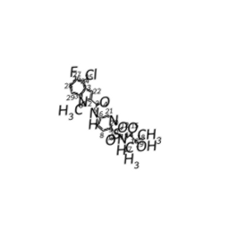 Cn1c(C(=O)Nc2ccc(S(=O)(=O)NC(=O)C(C)(C)O)nc2)cc2c(Cl)c(F)ccc21